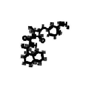 [CH2][C@H]1[C@@H](Cc2ccnc(N)c2)C(=O)N1C(=O)N[C@H](C)c1cccc2ccccc12